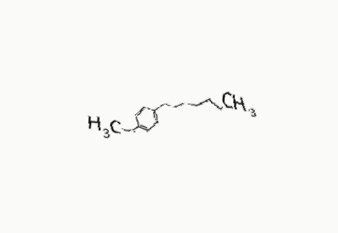 C[CH]c1ccc(CCCCCCC)cc1